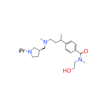 CC(CCN(C)C[C@H]1CCN(C(C)C)C1)c1ccc(C(=O)N(C)CCO)cc1